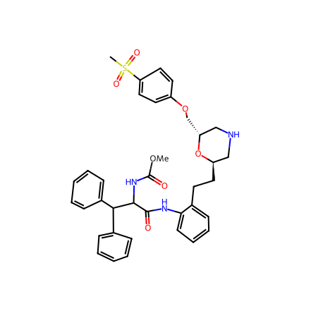 COC(=O)NC(C(=O)Nc1ccccc1CC[C@@H]1CNC[C@@H](COc2ccc(S(C)(=O)=O)cc2)O1)C(c1ccccc1)c1ccccc1